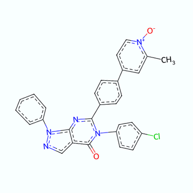 Cc1cc(-c2ccc(-c3nc4c(cnn4-c4ccccc4)c(=O)n3-c3ccc(Cl)cc3)cc2)cc[n+]1[O-]